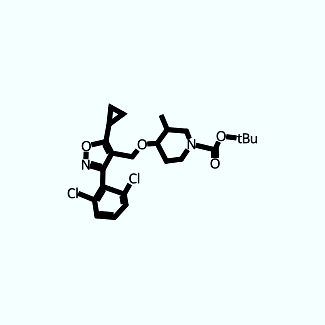 CC1CN(C(=O)OC(C)(C)C)CCC1OCc1c(-c2c(Cl)cccc2Cl)noc1C1CC1